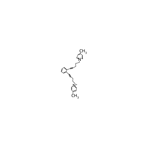 Cc1cc[n+](CCCC#Cc2ccccc2C#CCCC[n+]2ccc(C)cc2)cc1